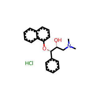 CN(C)C[C@@H](O)[C@@H](Oc1cccc2ccccc12)c1ccccc1.Cl